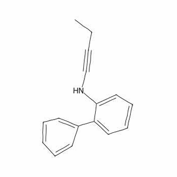 CCC#CNc1ccccc1-c1ccccc1